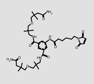 CC(C)(CNC(=O)c1cc(NC(=O)CCCCCN2C(=O)C=CC2=O)cc(C(=O)NCC(C)(C)COCC(C)(C)CC(N)=O)c1)COCC(C)(C)CC(N)=O